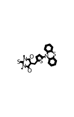 CN1C(=O)C(Cc2ccc(N3c4ccccc4Sc4ccccc43)s2)C(=O)N(C)C1=S